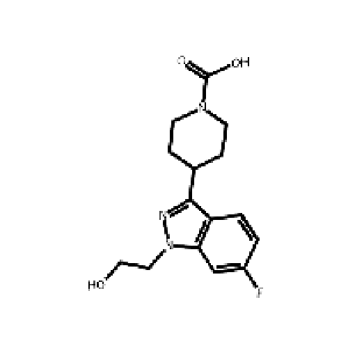 O=C(O)N1CCC(c2nn(CCO)c3cc(F)ccc23)CC1